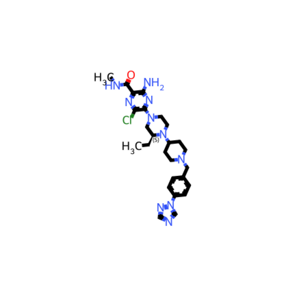 CC[C@H]1CN(c2nc(N)c(C(=O)NC)nc2Cl)CCN1C1CCN(Cc2ccc(-n3cncn3)cc2)CC1